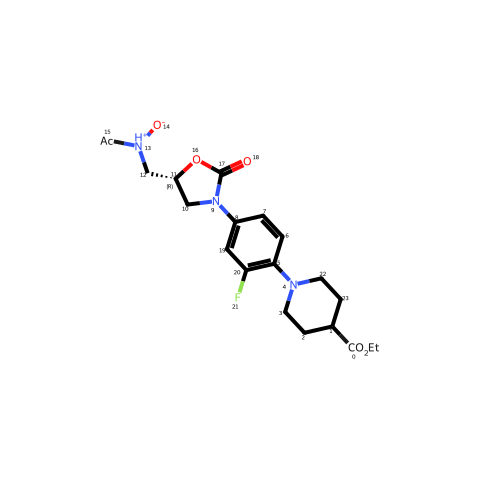 CCOC(=O)C1CCN(c2ccc(N3C[C@H](C[NH+]([O-])C(C)=O)OC3=O)cc2F)CC1